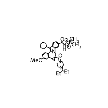 CCC(CC)N1CCN(C(=O)C23CC2c2cc(OC)ccc2-c2c(C4CCCCC4)c4ccc(C(=O)NS(=O)(=O)N(C)C)cc4n2C3)CC1